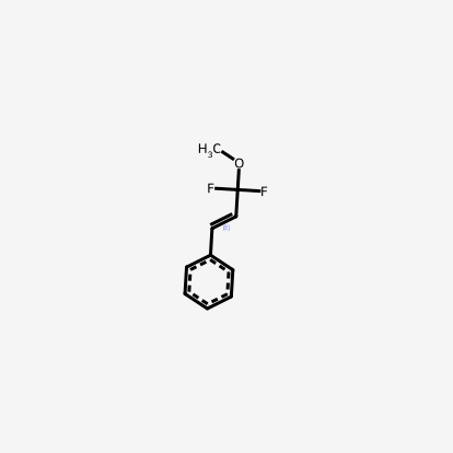 COC(F)(F)/C=C/c1ccccc1